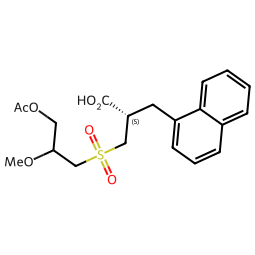 COC(COC(C)=O)CS(=O)(=O)C[C@@H](Cc1cccc2ccccc12)C(=O)O